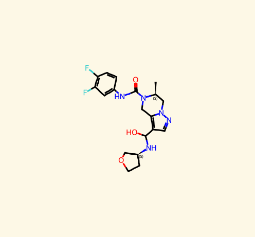 C[C@H]1Cn2ncc(C(O)N[C@H]3CCOC3)c2CN1C(=O)Nc1ccc(F)c(F)c1